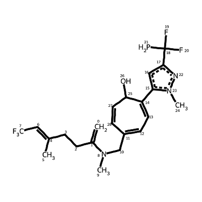 C=C(CC/C(C)=C/C(F)(F)F)N(C)CC1=CC=C(c2cc(C(F)(F)P)nn2C)C(O)C=C1